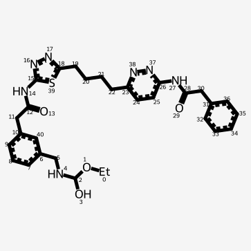 CCOC(O)NCc1cccc(CC(=O)Nc2nnc(CCCCc3ccc(NC(=O)Cc4ccccc4)nn3)s2)c1